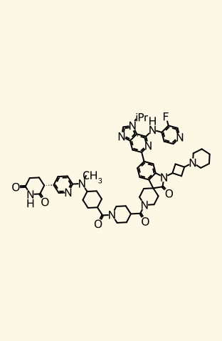 CC(C)n1cnc2cc(-c3ccc4c(c3)N(C3CC(N5CCCCC5)C3)C(=O)C43CCN(C(=O)C4CCN(C(=O)C5CCC(N(C)c6ccc([C@H]7CCC(=O)NC7=O)cn6)CC5)CC4)CC3)nc(Nc3ccncc3F)c21